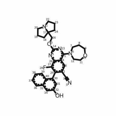 N#Cc1cc2c(N3CCCOCC3)nc(OCC34CCCN3CCC4)nc2c(F)c1-c1cc(O)cc2ccccc12